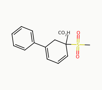 CS(=O)(=O)C1(C(=O)O)C=CC=C(c2ccccc2)C1